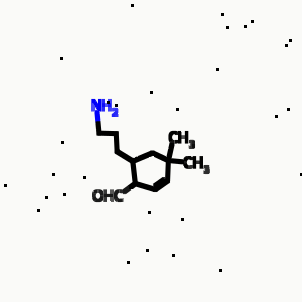 CC1(C)C=CC(C=O)C(CCCN)C1